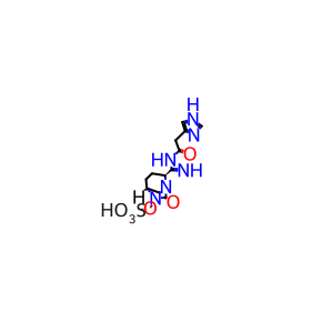 N=C(NC(=O)Cc1c[nH]cn1)[C@@H]1CC[C@@H]2CN1C(=O)N2OS(=O)(=O)O